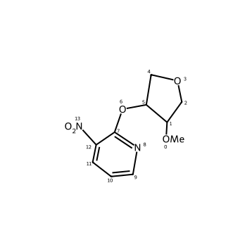 COC1COCC1Oc1ncccc1[N+](=O)[O-]